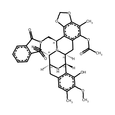 COc1c(C)cc2c(c1O)[C@@H]1N[C@@H](C2)[C@H](C#N)N2[C@@H](CN3C(=O)c4ccccc4C3=O)c3c(c(OC(C)=O)c(C)c4c3OCO4)C[C@@H]12